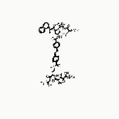 CN[C@@H](C)C(=O)N[C@H](C(=O)N[C@@H](CCNC(=O)c1ccc(CCc2ccc(C(=O)N[C@@H]3C[C@@H](C(=O)N[C@@H]4CCCc5ccccc54)N(C(=O)[C@@H](NC(=O)[C@H](C)NC)C(C)(C)C)C3)cc2)cc1)C(=O)NC(C)C(C)C)C(C)C